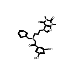 Cn1c(=O)c2c(ncn2CCCN(CC(=O)c2cc(O)cc(O)c2)Cc2ccccc2)n(C)c1=O